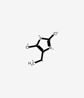 CCc1nc(Cl)sc1Cl